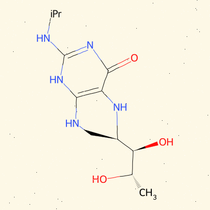 CC(C)Nc1nc(=O)c2c([nH]1)NC[C@H]([C@@H](O)[C@H](C)O)N2